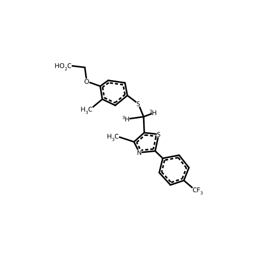 [3H]C([3H])(Sc1ccc(OCC(=O)O)c(C)c1)c1sc(-c2ccc(C(F)(F)F)cc2)nc1C